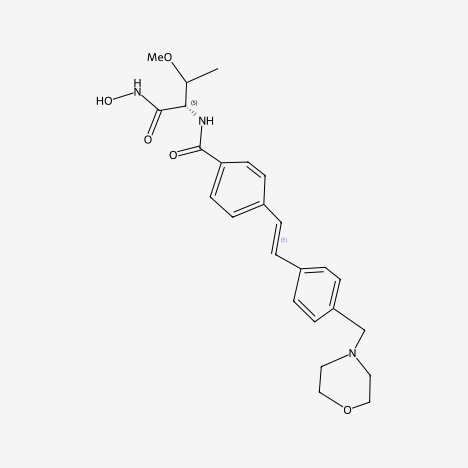 COC(C)[C@H](NC(=O)c1ccc(/C=C/c2ccc(CN3CCOCC3)cc2)cc1)C(=O)NO